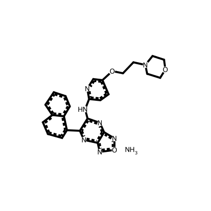 N.c1ccc2c(-c3nc4nonc4nc3Nc3ccc(OCCN4CCOCC4)cn3)cccc2c1